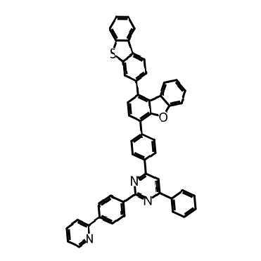 c1ccc(-c2cc(-c3ccc(-c4ccc(-c5ccc6c(c5)sc5ccccc56)c5c4oc4ccccc45)cc3)nc(-c3ccc(-c4ccccn4)cc3)n2)cc1